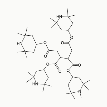 CN1C(C)(C)CC(OC(=O)C(CC(=O)OC2CC(C)(C)NC(C)(C)C2)C(CC(=O)OC2CC(C)(C)NC(C)(C)C2)C(=O)OC2CC(C)(C)NC(C)(C)C2)CC1(C)C